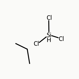 CCC.Cl[SiH](Cl)Cl